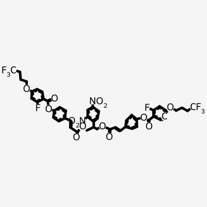 O=C(C=Cc1ccc(OC(=O)c2ccc(OCCCC(F)(F)F)cc2F)cc1)OCC(COC(=O)C=Cc1ccc(OC(=O)c2ccc(OCCCC(F)(F)F)cc2F)cc1)c1ccc([N+](=O)[O-])cc1[N+](=O)[O-]